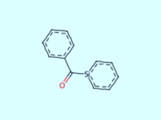 O=C(c1ccccc1)[si]1ccccc1